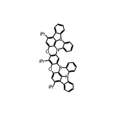 CC(C)c1cc2c3c4c1-c1ccccc1B4c1ccccc1N3c1cc3c(c(C(C)C)c1O2)Oc1cc(C(C)C)c2c4ccccc4n4c2c1B3c1ccccc1-4